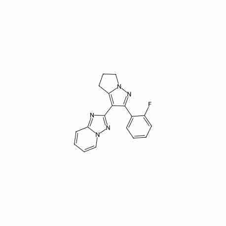 Fc1ccccc1-c1nn2c(c1-c1nc3ccccn3n1)CCC2